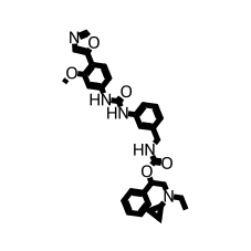 CCN(CC(OC(=O)NCc1cccc(NC(=O)Nc2ccc(-c3cnco3)c(OC)c2)c1)c1ccccc1)C1CC1